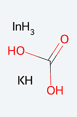 O=C(O)O.[InH3].[KH]